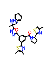 Cc1csc(C2CCCN2C(=O)c2cc(-c3nnc(C(C)(N)Cc4ccccc4)o3)cc(-c3nc(C)c(C)s3)c2)n1